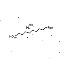 CCCCCCCCCCCCCCCC(=O)O.[AlH3].[LiH]